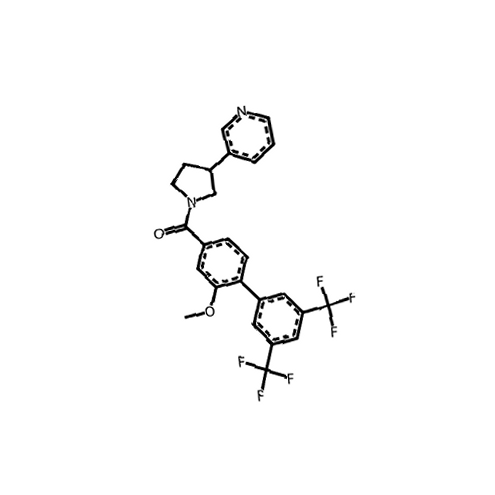 COc1cc(C(=O)N2CCC(c3cccnc3)C2)ccc1-c1cc(C(F)(F)F)cc(C(F)(F)F)c1